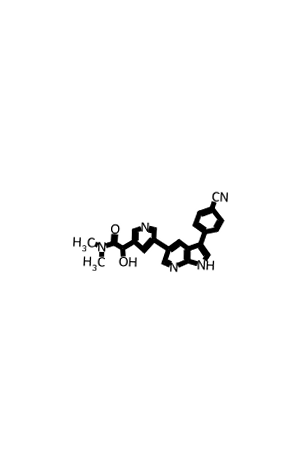 CN(C)C(=O)C(O)c1cncc(-c2cnc3[nH]cc(-c4ccc(C#N)cc4)c3c2)c1